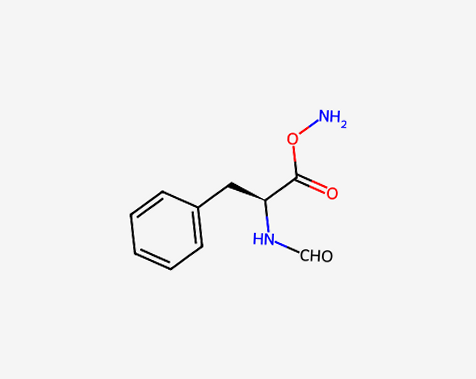 NOC(=O)[C@H](Cc1ccccc1)NC=O